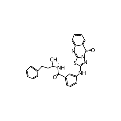 CC(CCc1ccccc1)NC(=O)c1cccc(Nc2nn3c(=O)c4ccccc4nc3s2)c1